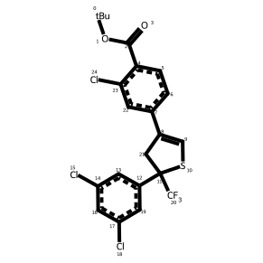 CC(C)(C)OC(=O)c1ccc(C2=CSC(c3cc(Cl)cc(Cl)c3)(C(F)(F)F)C2)cc1Cl